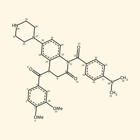 COc1ccc(C(=O)C2CC(=O)N(C(=O)c3ccc(N(C)C)cc3)c3ccc(N4CCNCC4)cc32)cc1OC